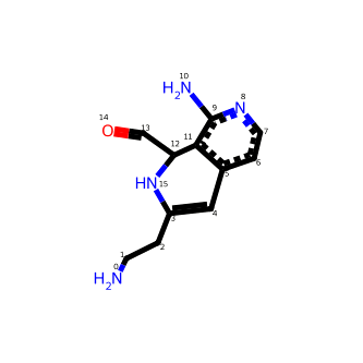 NCCC1=Cc2ccnc(N)c2C(C=O)N1